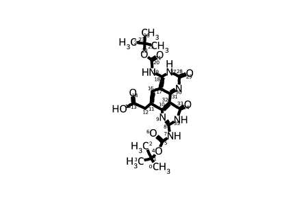 CC(C)(C)OC(=O)Nc1nc2c(CC(=O)O)cc3c(NC(=O)OC(C)(C)C)[nH]c(=O)nc3c2c(=O)[nH]1